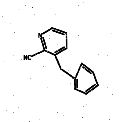 N#Cc1ncccc1Cc1ccccc1